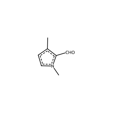 Cc1ccn(C)c1C=O